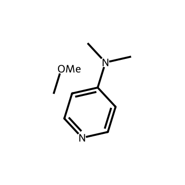 CN(C)c1ccncc1.COC